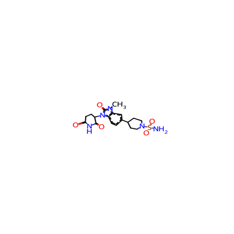 Cn1c(=O)n(C2CCC(=O)NC2=O)c2ccc(C3CCN(S(N)(=O)=O)CC3)cc21